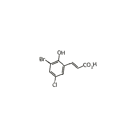 O=C(O)C=Cc1cc(Cl)cc(Br)c1O